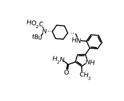 Cc1[nH]c(-c2ccccc2NC[C@H]2CC[C@@H](N(C(=O)O)C(C)(C)C)CC2)cc1C(N)=O